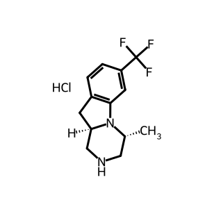 C[C@@H]1CNC[C@H]2Cc3ccc(C(F)(F)F)cc3N21.Cl